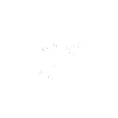 Cc1cc2c(cc1-c1cc(B3OC(C)(C)C(C)(C)O3)cnc1N)CCNC2=O